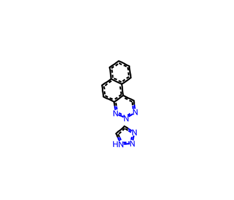 c1c[nH]nn1.c1ccc2c(c1)ccc1nnncc12